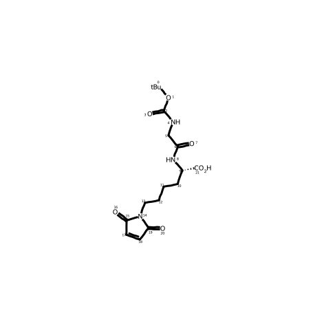 CC(C)(C)OC(=O)NCC(=O)N[C@@H](CCCCN1C(=O)C=CC1=O)C(=O)O